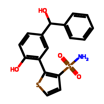 NS(=O)(=O)c1ccsc1-c1cc(C(O)c2ccccc2)ccc1O